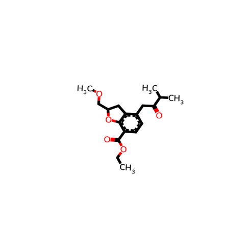 CCOC(=O)c1ccc(CC(=O)C(C)C)c2c1OC(COC)C2